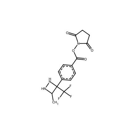 CC1NNC1(c1ccc(C(=O)ON2C(=O)CCC2=O)cc1)C(F)(F)F